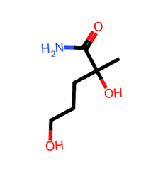 CC(O)(CCCO)C(N)=O